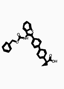 O=C(Nc1c(-c2ccc(-c3ccc(C4(C(=O)O)CC4)cc3)cc2)sc2ccccc12)OCc1ccccc1